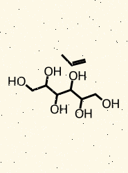 C=CC.OCC(O)C(O)C(O)C(O)CO